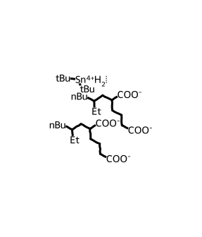 CCCCC(CC)CC(CCCC(=O)[O-])C(=O)[O-].CCCCC(CC)CC(CCCC(=O)[O-])C(=O)[O-].C[C](C)(C)[SnH2+4][C](C)(C)C